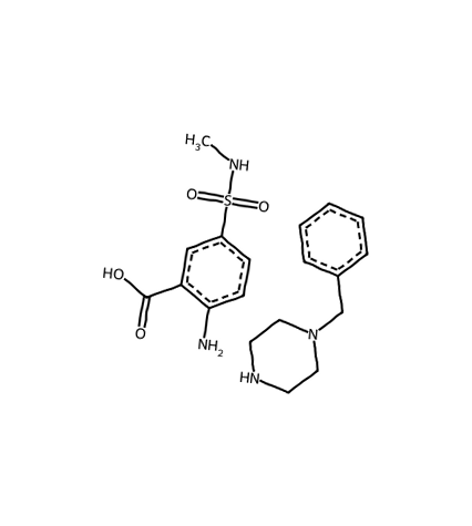 CNS(=O)(=O)c1ccc(N)c(C(=O)O)c1.c1ccc(CN2CCNCC2)cc1